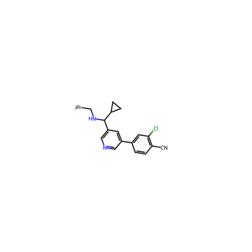 CC(C)CNC(c1cncc(-c2ccc(C#N)c(Cl)c2)c1)C1CC1